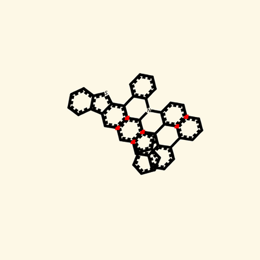 c1ccc(-c2cccc3cccc(-c4ccccc4N(c4ccccc4-c4cccc5c4sc4ccccc45)c4cccc5c4sc4ccccc45)c23)cc1